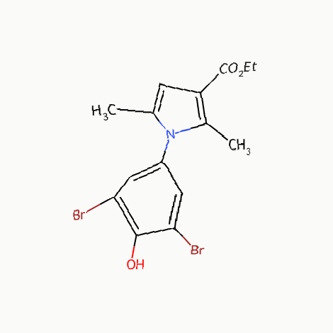 CCOC(=O)c1cc(C)n(-c2cc(Br)c(O)c(Br)c2)c1C